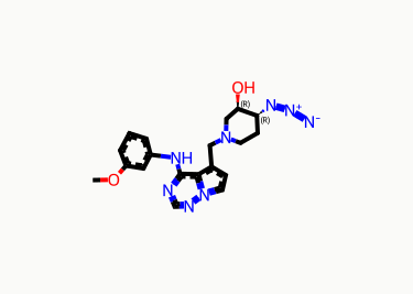 COc1cccc(Nc2ncnn3ccc(CN4CC[C@@H](N=[N+]=[N-])[C@H](O)C4)c23)c1